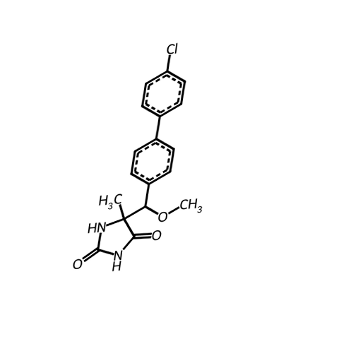 COC(c1ccc(-c2ccc(Cl)cc2)cc1)C1(C)NC(=O)NC1=O